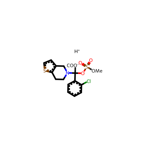 COS(=O)(=O)OC(C(=O)[O-])(c1ccccc1Cl)N1CCc2sccc2C1.[H+]